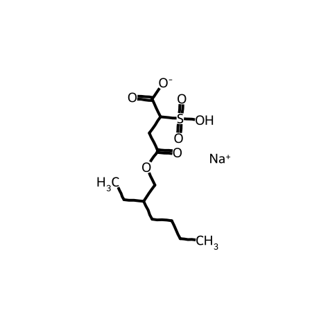 CCCCC(CC)COC(=O)CC(C(=O)[O-])S(=O)(=O)O.[Na+]